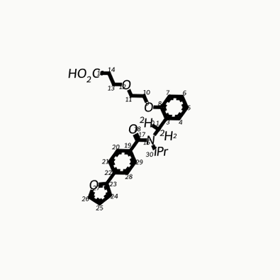 [2H]C([2H])(c1ccccc1OCCOCCC(=O)O)N(C(=O)c1ccc(-c2ccco2)cc1)C(C)C